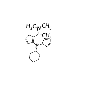 C[C@H](C1=C(P(C2C=CC=C2)C2CCCCC2)C=CC1)N(C)C